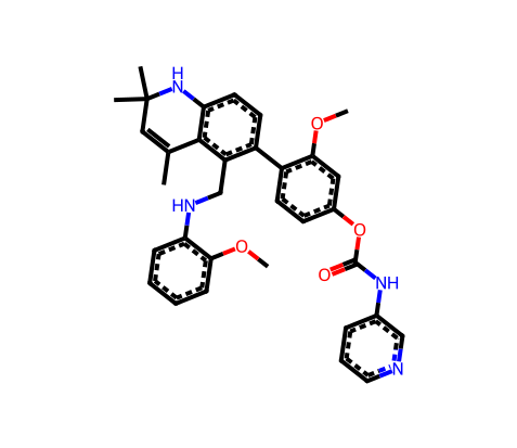 COc1ccccc1NCc1c(-c2ccc(OC(=O)Nc3cccnc3)cc2OC)ccc2c1C(C)=CC(C)(C)N2